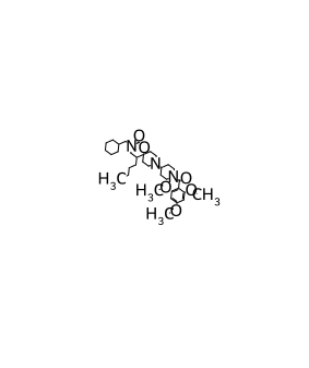 CCCCC1CN(CC2CCCCC2)C(=O)OC12CCN(C1CCN(C(=O)c3c(OC)cc(OC)cc3OC)CC1)CC2